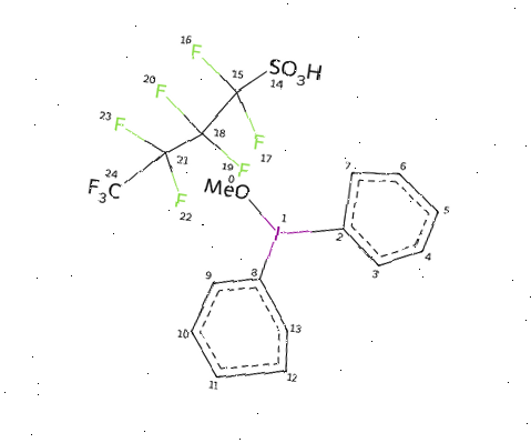 COI(c1ccccc1)c1ccccc1.O=S(=O)(O)C(F)(F)C(F)(F)C(F)(F)C(F)(F)F